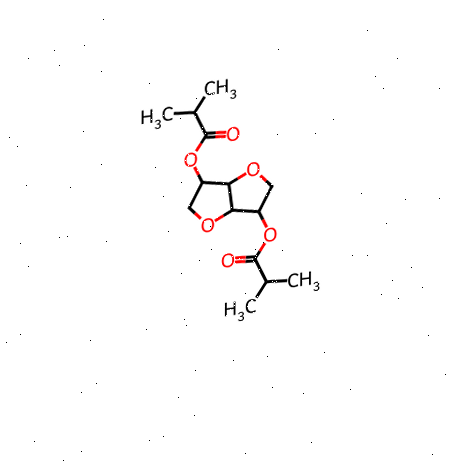 CC(C)C(=O)OC1COC2C(OC(=O)C(C)C)COC12